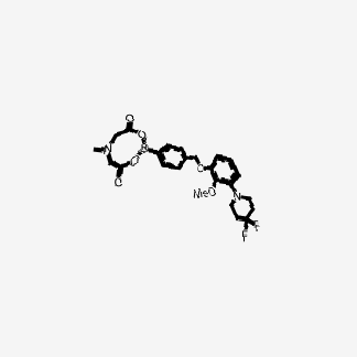 COc1c(OCc2ccc(B3OC(=O)CN(C)CC(=O)O3)cc2)cccc1N1CCC(F)(F)CC1